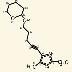 Cc1sc(C=O)nc1C#CCCCOC1CCCCO1